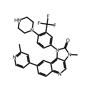 Cc1cc(-c2ccc3ncc4c(c3c2)n(-c2ccc(N3CCNCC3)c(C(F)(F)F)c2)c(=O)n4C)ccn1